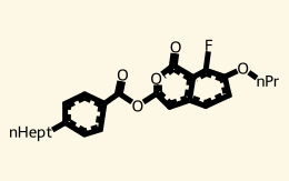 CCCCCCCc1ccc(C(=O)Oc2cc3ccc(OCCC)c(F)c3c(=O)o2)cc1